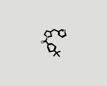 CC(C)(C)c1ccc(C(=O)N2CCC(Cc3cccnc3)C2)cc1